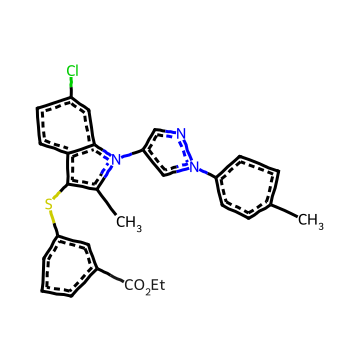 CCOC(=O)c1cccc(Sc2c(C)n(-c3cnn(-c4ccc(C)cc4)c3)c3cc(Cl)ccc23)c1